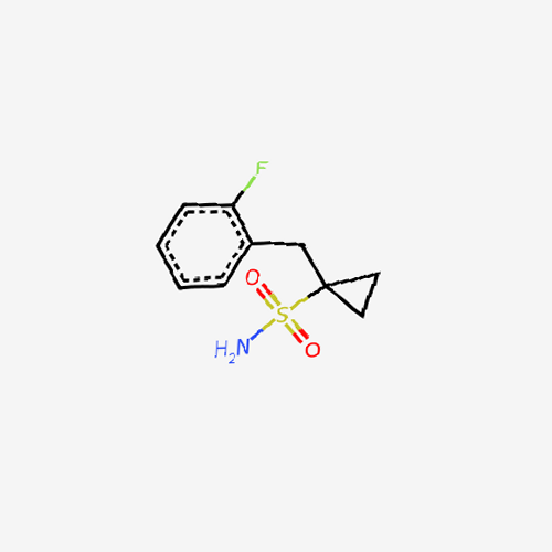 NS(=O)(=O)C1(Cc2ccccc2F)CC1